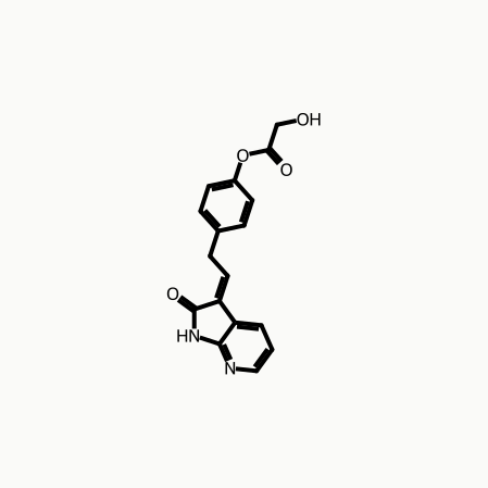 O=C(CO)Oc1ccc(CC=C2C(=O)Nc3ncccc32)cc1